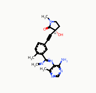 C=N/C(=N\c1c(C)ncnc1N)c1cc(C#C[C@]2(O)CCN(C)C2=O)ccc1C